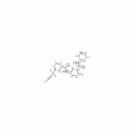 CC#CC(C)(C)c1cccc(C(=O)Nc2ccc(C)c(C(=O)Nc3cccnc3)c2)c1